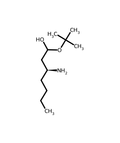 CCCC[C@H](N)CC(O)OC(C)(C)C